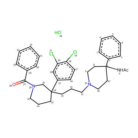 CC(=O)NC1(c2ccccc2)CCN(CCCC2(c3ccc(Cl)c(Cl)c3)CCCN(C(=O)c3ccccc3)C2)CC1.Cl